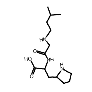 CC(C)CCNCC(=O)NC(CC1CCCN1)C(=O)O